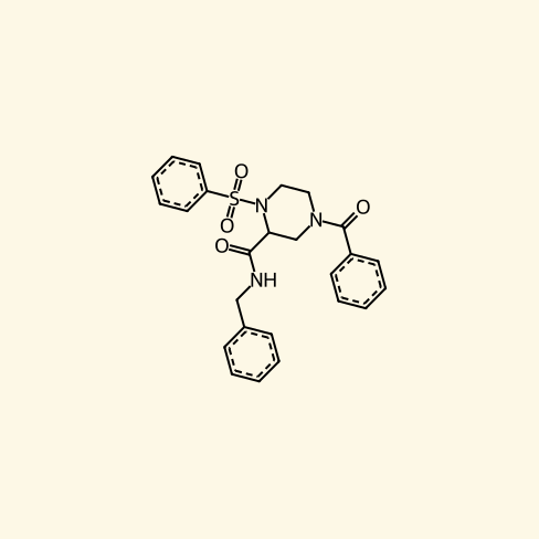 O=C(NCc1ccccc1)C1CN(C(=O)c2ccccc2)CCN1S(=O)(=O)c1ccccc1